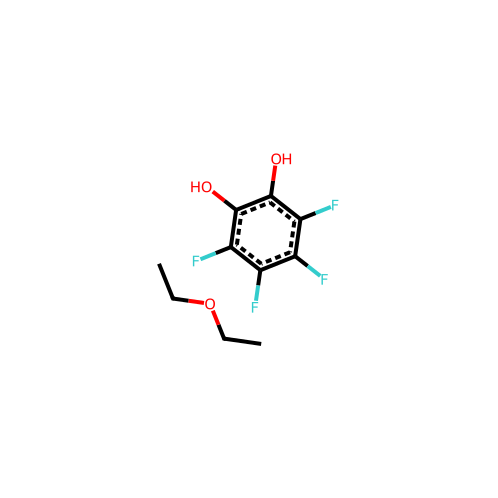 CCOCC.Oc1c(O)c(F)c(F)c(F)c1F